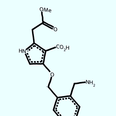 COC(=O)Cc1[nH]cc(O[CH]c2ccccc2CN)c1C(=O)O